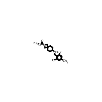 Cc1cc(Cl)c(CNC2CCC3(CC2)CN(C(=O)OC(C)(C)C)C3)c(Br)c1